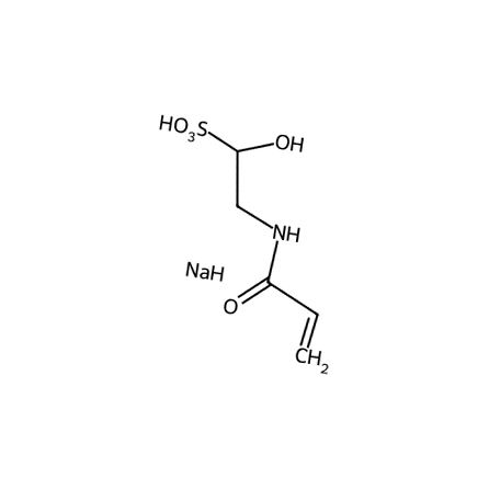 C=CC(=O)NCC(O)S(=O)(=O)O.[NaH]